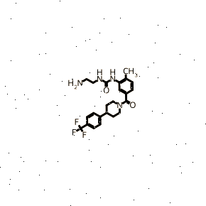 Cc1ccc(C(=O)N2CCC(c3ccc(C(F)(F)F)cc3)CC2)cc1NC(=O)NCCN